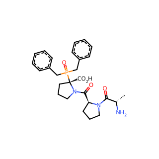 C[C@H](N)C(=O)N1CCC[C@H]1C(=O)N1CCC[C@]1(C(=O)O)P(=O)(Cc1ccccc1)Cc1ccccc1